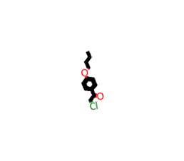 CCCCOc1ccc(C(=O)CCl)cc1